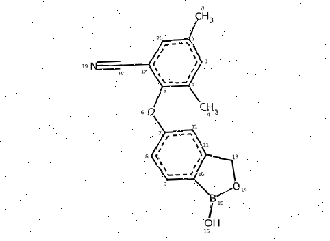 Cc1cc(C)c(Oc2ccc3c(c2)COB3O)c(C#N)c1